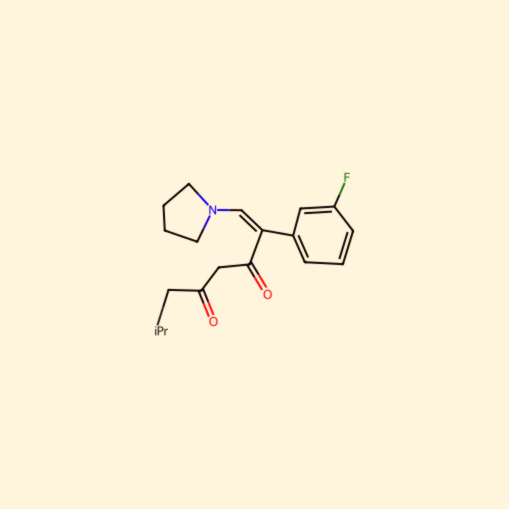 CC(C)CC(=O)CC(=O)C(=CN1CCCC1)c1cccc(F)c1